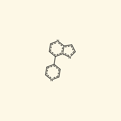 c1cc(-c2ccnc3ccnn23)ccn1